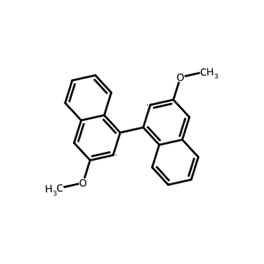 COc1[c]c(-c2[c]c(OC)cc3ccccc23)c2ccccc2c1